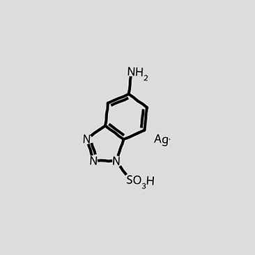 Nc1ccc2c(c1)nnn2S(=O)(=O)O.[Ag]